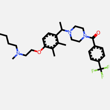 CCCCN(C)CCOc1ccc(C(C)N2CCN(C(=O)c3ccc(C(F)(F)F)cc3)CC2)c(C)c1C